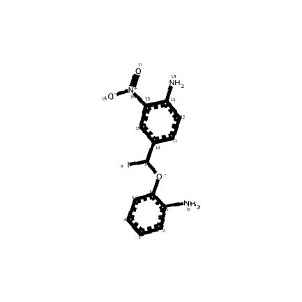 Nc1ccccc1OC(I)c1ccc(N)c([N+](=O)[O-])c1